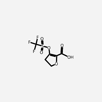 O=C(O)C1=C(OS(=O)(=O)C(F)(F)F)CCO1